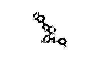 O=C(Nc1cccc(Cl)c1)C1CNCCN1c1ncnc2cc(-c3ccc4c(c3)OCO4)cnc12